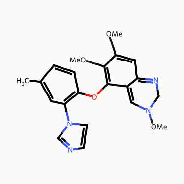 COc1cc2c(c(Oc3ccc(C)cc3-n3ccnc3)c1OC)=CN(OC)CN=2